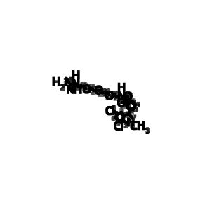 CN1Cc2c(Cl)cc(Cl)cc2C(c2cccc(S(=O)(=O)NCCOCCOCCOCCNC(=N)N)c2)C1